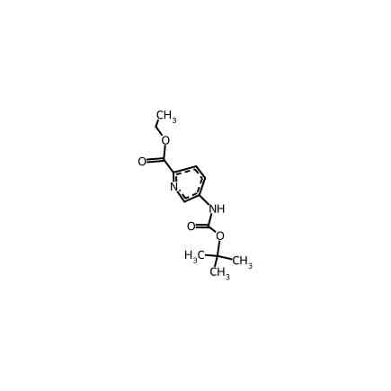 CCOC(=O)c1ccc(NC(=O)OC(C)(C)C)cn1